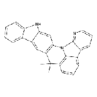 CC1(C)c2cc3c(cc2-n2c4ncccc4c4cccc1c42)[nH]c1ccccc13